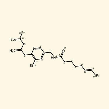 C=C(Cc1ccc(CNC(=O)CCCC/C=C/C(C)C)cc1CC)CN(CC)CC